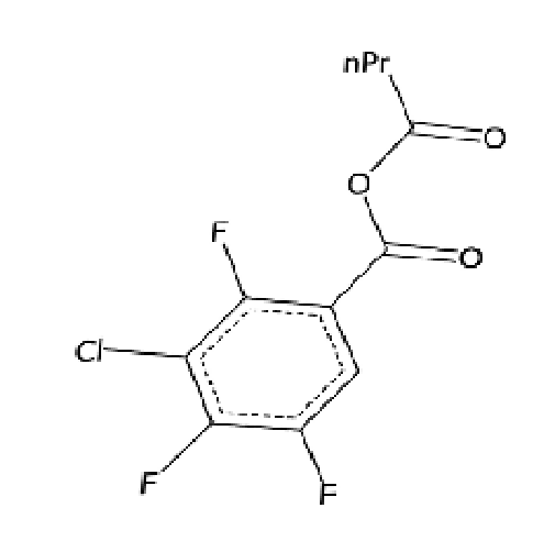 CCCC(=O)OC(=O)c1cc(F)c(F)c(Cl)c1F